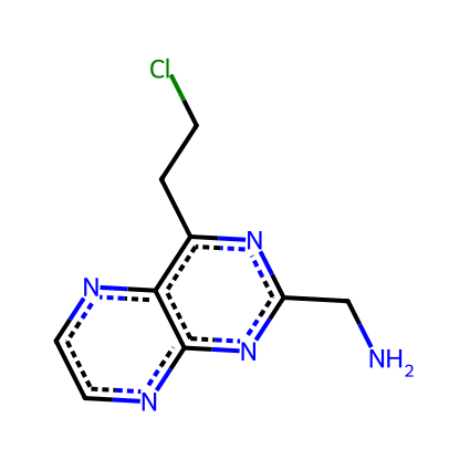 NCc1nc(CCCl)c2nccnc2n1